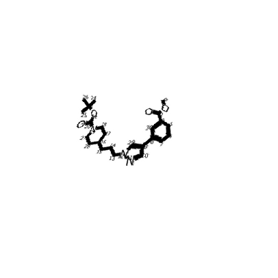 COC(=O)c1cccc(-c2cnn(CCCC3CCN(C(=O)OC(C)(C)C)CC3)c2)c1